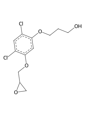 OCCCOc1cc(OCC2CO2)c(Cl)cc1Cl